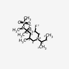 CCC(C)N(CCF)CC(C)CC(C)(C)N(C)S(C)(=O)=O